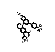 CC(=O)N1Cc2cc(C3=CCC(S(C)(=O)=O)CC3)cc(N3CCCc4cc(-c5cnn(C)c5)c(C(F)F)cc43)c2C1